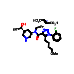 CCCC(O)[C@H]1CNC[C@@H](N(CC(C)C)C(=O)c2nnn(-c3ccccc3F)c2CCCCOC)C1.O=C(O)/C=C/C(=O)O